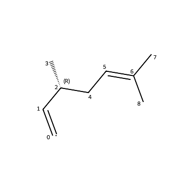 [CH]=C[C@H](C)CC=C(C)C